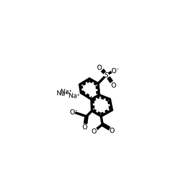 O=C([O-])c1ccc2c(S(=O)(=O)[O-])cccc2c1C(=O)[O-].[Na+].[Na+].[Na+]